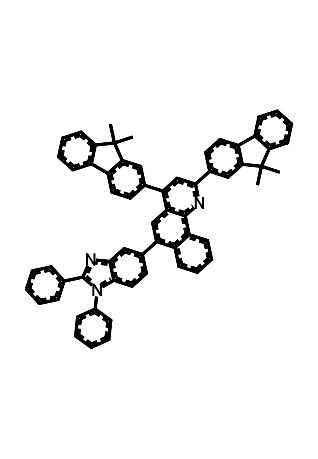 CC1(C)c2ccccc2-c2ccc(-c3cc(-c4ccc5c(c4)C(C)(C)c4ccccc4-5)c4cc(-c5ccc6c(c5)nc(-c5ccccc5)n6-c5ccccc5)c5ccccc5c4n3)cc21